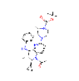 CC(=O)N1c2ccc(N3CCN(C(=O)OC(C)(C)C)C(C)C3)nc2C(Nc2ccccc2)[C@@H](C)[C@@H]1C1CC1